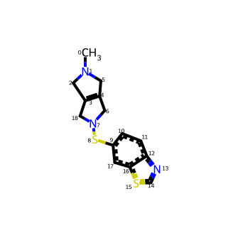 CN1CC2=C(C1)CN(Sc1ccc3ncsc3c1)C2